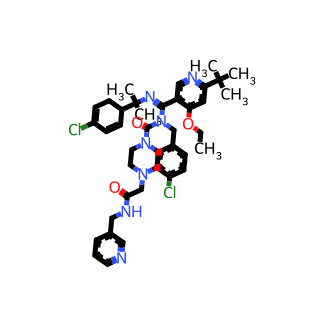 CCOc1cc(C(C)(C)C)ncc1/C(=N/C(C)(C)C1C=CC(Cl)=CC1)N(Cc1ccc(Cl)cc1)C(=O)N1CCN(CC(=O)NCc2cccnc2)CC1